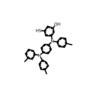 Cc1ccc(N(c2ccc(N(c3ccc(C)cc3)c3cc(O)cc(S)c3)cc2)c2cccc(C)c2)cc1